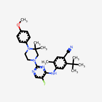 COc1ccc(N2CCN(c3ncc(F)c(Nc4cc(C(C)(C)C)c(C#N)cc4C)n3)CC2(C)C)cc1